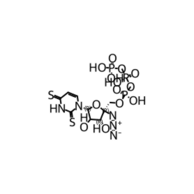 [N-]=[N+]=N[C@]1(COP(=O)(O)OP(=O)(O)OP(=O)(O)O)O[C@@H](n2ccc(=S)[nH]c2=S)C(O)[C@H]1O